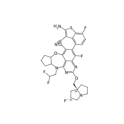 N#Cc1c(N)sc2c(F)ccc(-c3c(Cl)c4c5c(nc(OC[C@@]67CCCN6C[C@H](F)C7)nc5c3F)N(CC(F)F)C3CCCC3O4)c12